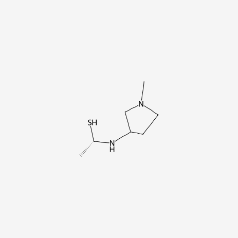 C[C@H](S)NC1CCN(C)C1